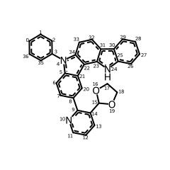 c1ccc(-n2c3ccc(-c4ncccc4C4OCCO4)cc3c3c4[nH]c5ccccc5c4ccc32)cc1